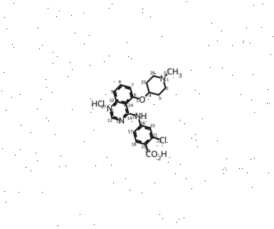 CN1CCC(Oc2cccc3ncnc(Nc4ccc(C(=O)O)c(Cl)c4)c23)CC1.Cl